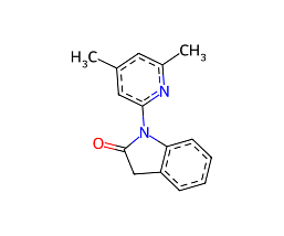 Cc1cc(C)nc(N2C(=O)Cc3ccccc32)c1